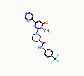 Cn1c(N2CCCC(C(=O)Nc3ccc(C(F)(F)F)cc3)C2)nc(-c2ccncn2)cc1=O